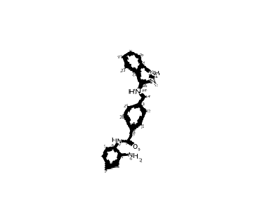 Nc1ccccc1NC(=O)c1ccc(CNc2n[nH]c3ccccc23)cc1